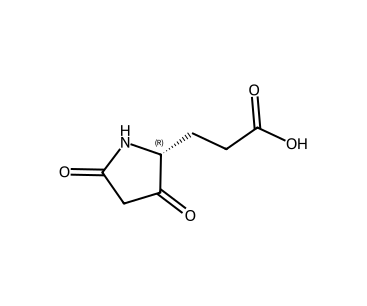 O=C(O)CC[C@H]1NC(=O)CC1=O